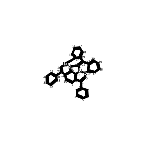 C1=C(c2ccccc2)c2ccc3c4c2N2B1c1ccccc1C1=C2N4B(C=C3c2ccccc2)c2ccccc21